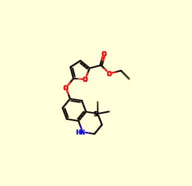 CCOC(=O)c1ccc(Oc2ccc3c(c2)[Si](C)(C)CCN3)o1